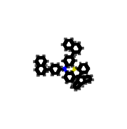 c1ccc2c(c1)Sc1c(N(c3ccc(-c4cccc5ccccc45)cc3)c3ccc(-c4cccc5ccccc45)cc3)cccc1[Si]21c2ccccc2-c2ccccc21